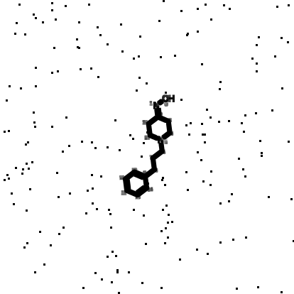 ON=C1CCN(CCCc2ccccc2)CC1